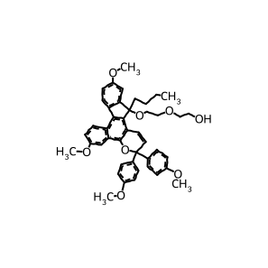 CCCCC1(OCCOCCO)c2cc(OC)ccc2-c2c1c1c(c3cc(OC)ccc23)OC(c2ccc(OC)cc2)(c2ccc(OC)cc2)C=C1